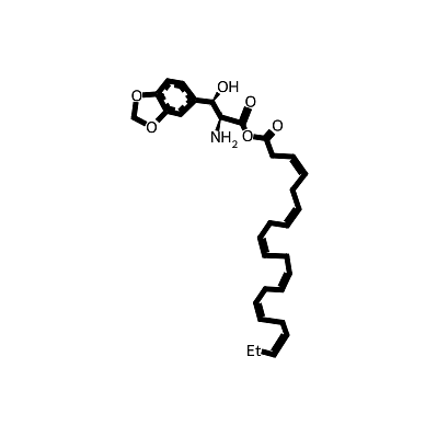 CC/C=C\C/C=C\C/C=C\C/C=C\C/C=C\C/C=C\CC(=O)OC(=O)[C@@H](N)[C@H](O)c1ccc2c(c1)OCO2